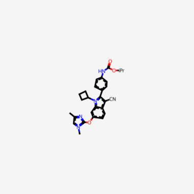 Cc1cn(C)c(Oc2ccc3c(C#N)c(-c4ccc(NC(=O)OC(C)C)cc4)n(C4CCC4)c3c2)n1